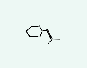 CC(C)=CC1CCCCO1